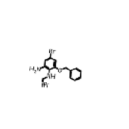 CC(C)CNc1c(N)cc(Br)cc1OCc1ccccc1